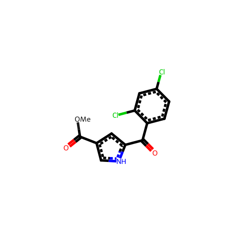 COC(=O)c1c[nH]c(C(=O)c2ccc(Cl)cc2Cl)c1